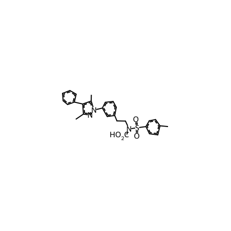 Cc1ccc(S(=O)(=O)N(CCc2cccc(-n3nc(C)c(-c4ccccc4)c3C)c2)C(=O)O)cc1